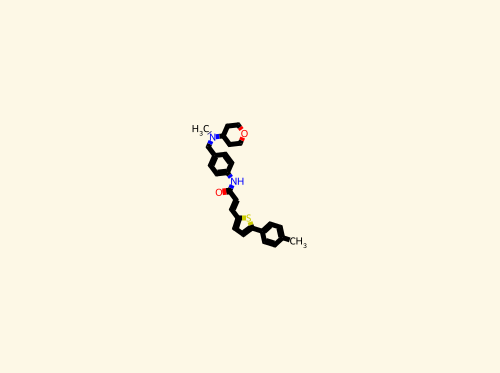 Cc1ccc(-c2ccc(C=CC(=O)Nc3ccc(CN(C)C4CCOCC4)cc3)s2)cc1